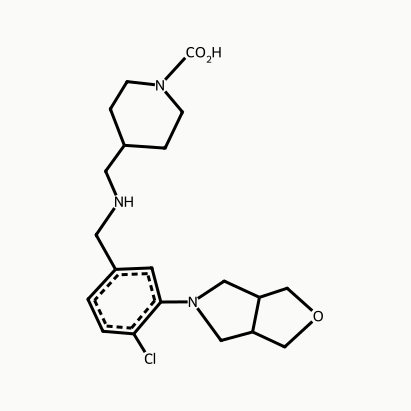 O=C(O)N1CCC(CNCc2ccc(Cl)c(N3CC4COCC4C3)c2)CC1